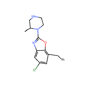 CC(C)Cc1cc(Cl)cc2nc(N3CCNCC3C)oc12